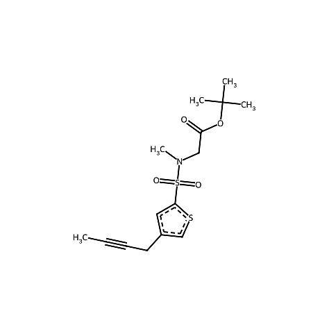 CC#CCc1csc(S(=O)(=O)N(C)CC(=O)OC(C)(C)C)c1